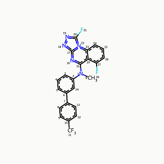 CN(c1cccc(-c2ccc(C(F)(F)F)cc2)c1)c1nc2nnc(F)n2c2cccc(F)c12